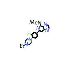 CCN1CCN(c2ccc(-c3cc4nccnc4c(NC)n3)cc2F)CC1